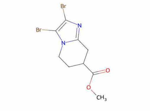 COC(=O)C1CCn2c(nc(Br)c2Br)C1